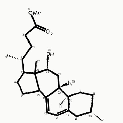 COC(=O)CC[C@@H](C)C1CCC2C3=CC=C4C[C@@H](C)CC[C@]4(C)[C@H]3C[C@H](O)C21C